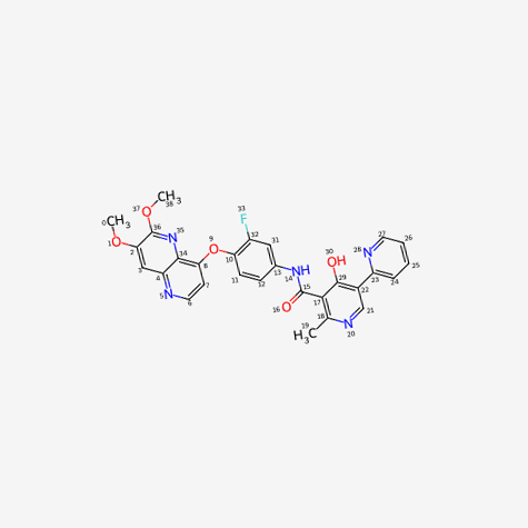 COc1cc2nccc(Oc3ccc(NC(=O)c4c(C)ncc(-c5ccccn5)c4O)cc3F)c2nc1OC